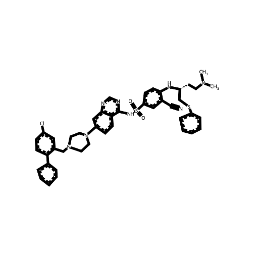 CN(C)CC[C@H](CSc1ccccc1)Nc1ccc(S(=O)(=O)Nc2ncnc3cc(N4CCN(Cc5cc(Cl)ccc5-c5ccccc5)CC4)ccc23)cc1C#N